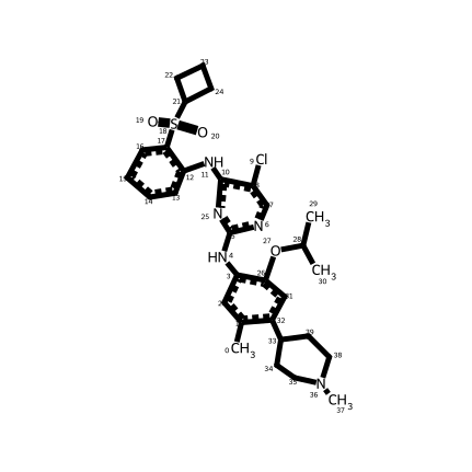 Cc1cc(Nc2ncc(Cl)c(Nc3ccccc3S(=O)(=O)C3CCC3)n2)c(OC(C)C)cc1C1CCN(C)CC1